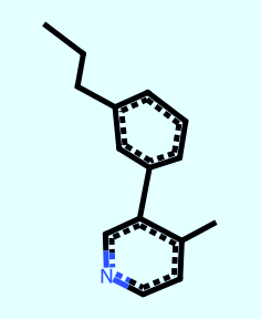 CCCc1cccc(-c2cnccc2C)c1